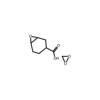 C1OO1.O=C(O)C1CCC2OC2C1